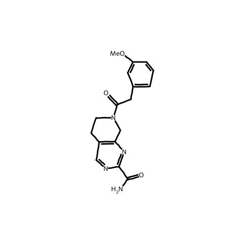 COc1cccc(CC(=O)N2CCc3[c]nc(C(N)=O)nc3C2)c1